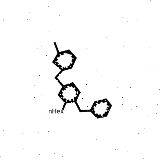 CCCCCCc1cc(Cc2cccc(C)c2)ccc1Cc1ccccc1